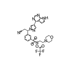 N#CCC(c1cccc(S(=O)(=O)N(CCN2CCOCC2)OC(=O)C(F)(F)F)c1)n1cc(-c2ncnc3[nH]ccc23)cn1